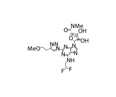 CNC(=O)[C@H]1OC(n2cnc3c(NCC(F)F)nc(-n4cc(CCOC)nn4)nc32)[C@H](O)[C@@H]1O